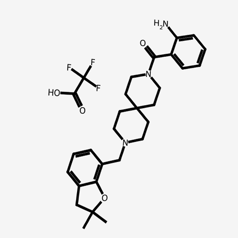 CC1(C)Cc2cccc(CN3CCC4(CC3)CCN(C(=O)c3ccccc3N)CC4)c2O1.O=C(O)C(F)(F)F